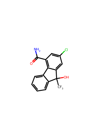 NC(=O)c1cc(Cl)cc2c1-c1ccccc1C2(O)C(F)(F)F